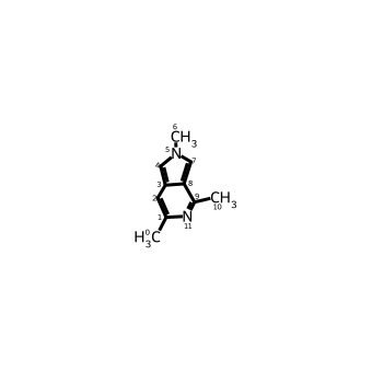 Cc1cc2cn(C)cc2c(C)n1